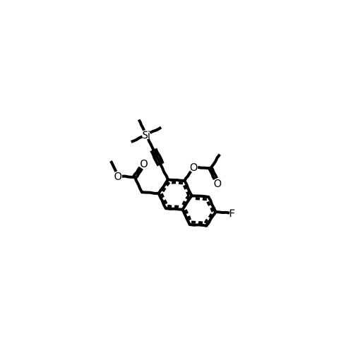 COC(=O)Cc1cc2ccc(F)cc2c(OC(C)=O)c1C#C[Si](C)(C)C